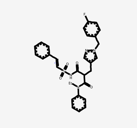 CCN(C(=O)C(Cc1cnn(Cc2ccc(F)cc2)c1)C(=O)NS(=O)(=O)/C=C/c1ccccc1)c1ccccc1